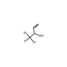 C=CN(O)C(F)(CC)CC